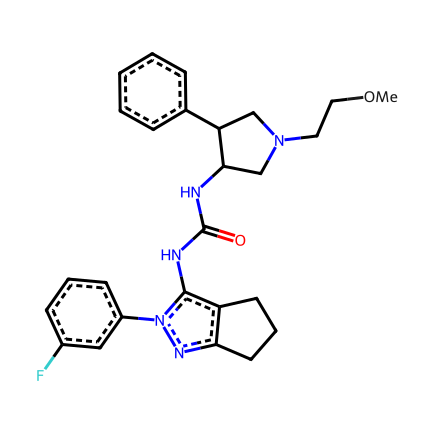 COCCN1CC(NC(=O)Nc2c3c(nn2-c2cccc(F)c2)CCC3)C(c2ccccc2)C1